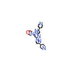 CN1CCC(c2ccn(-c3cc(N4CCOCC4)n4nc(-c5ccncc5)cc4n3)n2)CC1